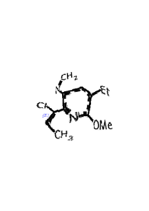 C=Nc1cc(CC)c(OC)nc1/C(Cl)=C\C